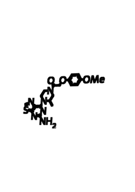 COc1ccc(OCC(=O)N2CCN(c3nc(N)nc4scnc34)C(C)C2)cc1